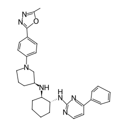 Cc1nnc(-c2ccc(N3CCC[C@H](N[C@@H]4CCCC[C@H]4Nc4nccc(-c5ccccc5)n4)C3)cc2)o1